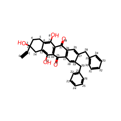 C#CC1(O)CCc2c(O)c3c(c(O)c2C1)C(=O)c1cc(Cc2ccccc2)c(Cc2ccccc2)cc1C3=O